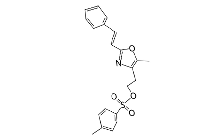 Cc1ccc(S(=O)(=O)OCCc2nc(C=Cc3ccccc3)oc2C)cc1